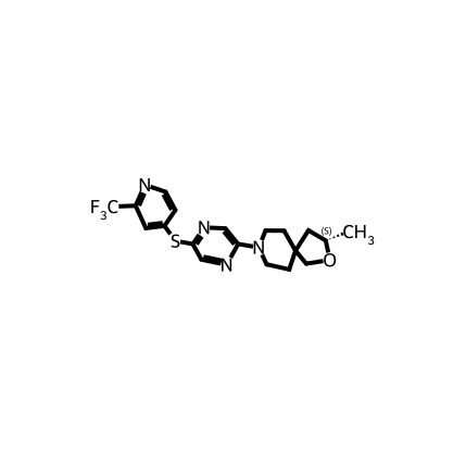 C[C@H]1CC2(CCN(c3cnc(Sc4ccnc(C(F)(F)F)c4)cn3)CC2)CO1